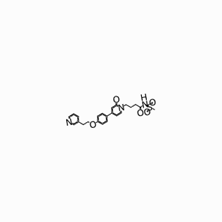 CS(=O)(=O)NC(=O)CCCn1ccc(-c2ccc(OCCc3cccnc3)cc2)cc1=O